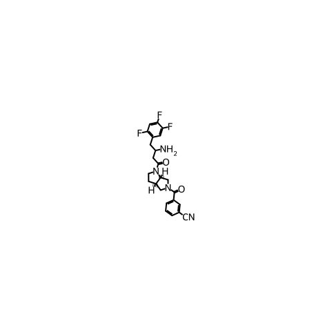 N#Cc1cccc(C(=O)N2C[C@@H]3CCN(C(=O)CC(N)Cc4cc(F)c(F)cc4F)[C@@H]3C2)c1